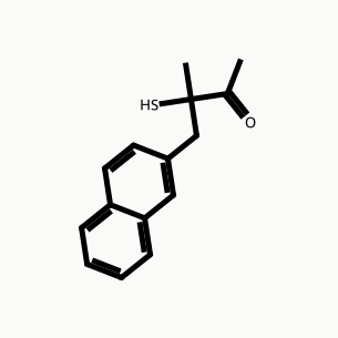 CC(=O)C(C)(S)Cc1ccc2ccccc2c1